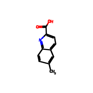 Cc1ccc2nc(C(=O)O)ccc2c1